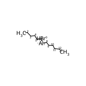 Br.CCCCC[CH2][Al][CH2]CCCCC